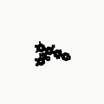 Cc1ccc(C(=O)Nc2cc(-c3cnc(N4CCOCC4)nc3)c(F)cc2N2C[C@@H](C)N(C)[C@@H](C)C2)cc1C